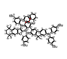 CC(C)(C)c1ccc(N2B3c4oc5cc6c(cc5c4N(c4ccc(C(C)(C)C)cc4-c4ccccc4)c4cc5c(oc7ccccc75)c(c43)-c3cc4c(cc32)C(C)(C)c2cc(N(c3ccc(C(C)(C)C)cc3)c3ccc(C(C)(C)C)cc3)ccc2-4)C(C)(C)CCC6(C)C)cc1